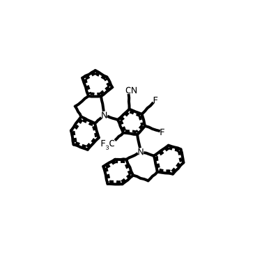 N#Cc1c(F)c(F)c(N2c3ccccc3Cc3ccccc32)c(C(F)(F)F)c1N1c2ccccc2Cc2ccccc21